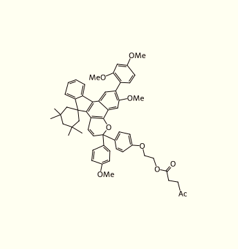 COc1ccc(C2(c3ccc(OCCOC(=O)CCC(C)=O)cc3)C=Cc3c4c(c5cc(-c6ccc(OC)cc6OC)c(OC)cc5c3O2)-c2ccccc2C42CC(C)(C)CC(C)(C)C2)cc1